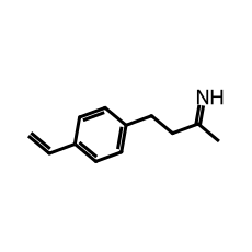 C=Cc1ccc(CCC(C)=N)cc1